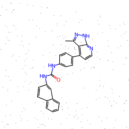 Cc1n[nH]c2nccc(-c3ccc(NC(=O)Nc4ccc5ccccc5c4)cc3)c12